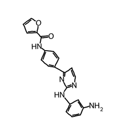 Nc1cccc(Nc2nccc(-c3ccc(NC(=O)c4ccco4)cc3)n2)c1